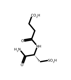 NC(=O)[C@@H](CS(=O)(=O)O)NC(=O)CCC(=O)O